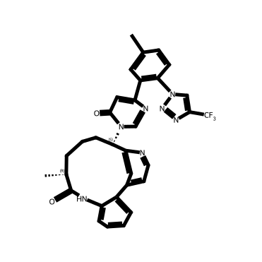 Cc1ccc(-n2cc(C(F)(F)F)nn2)c(-c2cc(=O)n([C@H]3CCC[C@@H](C)C(=O)Nc4ccccc4-c4ccnc3c4)cn2)c1